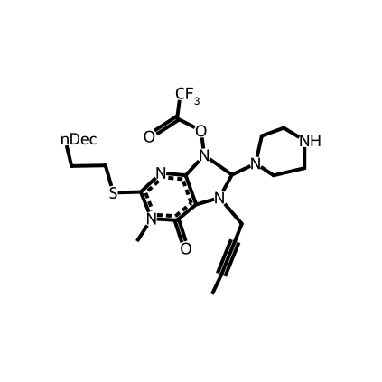 CC#CCN1c2c(nc(SCCCCCCCCCCCC)n(C)c2=O)N(OC(=O)C(F)(F)F)C1N1CCNCC1